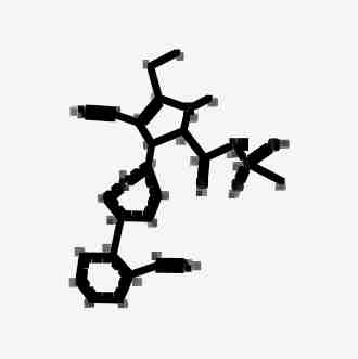 CCC1=C(C#N)C(c2ccc(-c3ccccc3C#N)cc2)C(C(=O)NS(C)(=O)=O)N1C